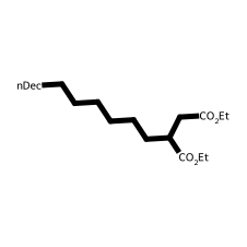 CCCCCCCCCCCCCCCCC(CC(=O)OCC)C(=O)OCC